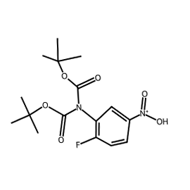 CC(C)(C)OC(=O)N(C(=O)OC(C)(C)C)c1cc([N+](=O)O)ccc1F